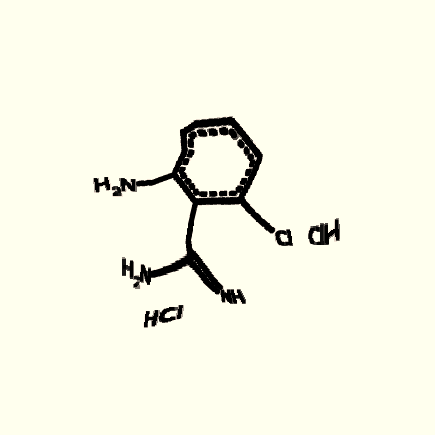 Cl.Cl.N=C(N)c1c(N)cccc1Cl